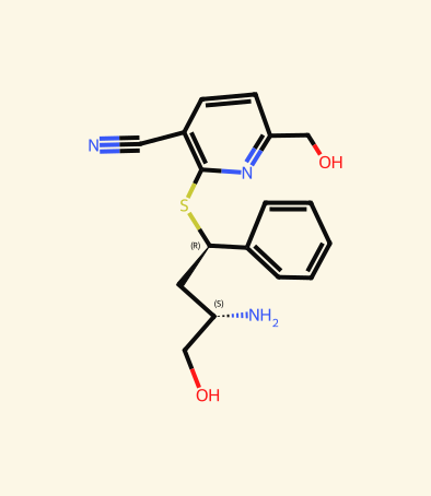 N#Cc1ccc(CO)nc1S[C@H](C[C@H](N)CO)c1ccccc1